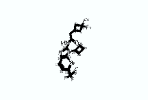 O=C(CC1CC(F)(F)C1)Nc1nc2ccc(C(F)(F)F)nc2n1C1CCC1